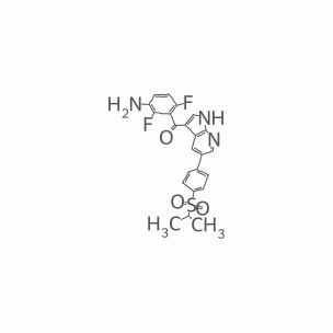 CC(C)S(=O)(=O)c1ccc(-c2cnc3[nH]cc(C(=O)c4c(F)ccc(N)c4F)c3c2)cc1